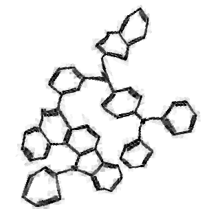 c1ccc(N(c2ccccc2)c2ccc(N(c3cccc(-c4nc5ccccc5c5c4ccc4c6ccccc6n(-c6ccccc6)c45)c3)c3ccc4ccccc4c3)cc2)cc1